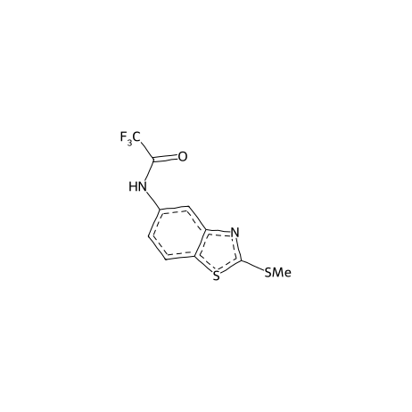 CSc1nc2cc(NC(=O)C(F)(F)F)ccc2s1